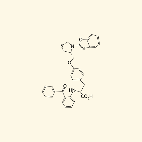 O=C(c1ccccc1)c1ccccc1N[C@@H](Cc1ccc(OC[C@@H]2CSCN2c2nc3ccccc3o2)cc1)C(=O)O